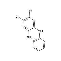 CCc1cc(Nc2ccccc2)c(N)cc1Cl